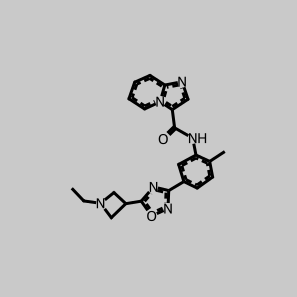 CCN1CC(c2nc(-c3ccc(C)c(NC(=O)c4cnc5ccccn45)c3)no2)C1